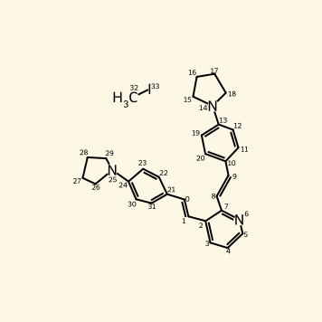 C(=Cc1cccnc1C=Cc1ccc(N2CCCC2)cc1)c1ccc(N2CCCC2)cc1.CI